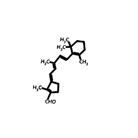 CC(C=CC1=C(C)CCCC1(C)C)=CC=C1CCC(C=O)=C1C